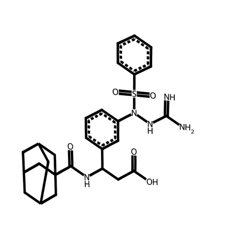 N=C(N)NN(c1cccc(C(CC(=O)O)NC(=O)C23CC4CC(CC(C4)C2)C3)c1)S(=O)(=O)c1ccccc1